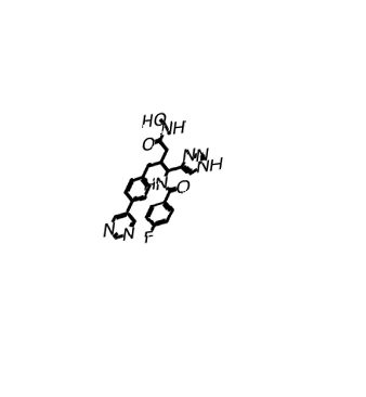 O=C(CC(Cc1ccc(-c2cncnc2)cc1)C(NC(=O)c1ccc(F)cc1)c1c[nH]nn1)NO